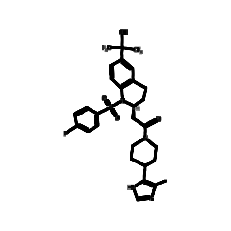 Cc1nc[nH]c1C1CCN(C(=O)C[C@@H]2CCc3cc(C(O)(C(F)(F)F)C(F)(F)F)ccc3N2S(=O)(=O)c2ccc(F)cc2)CC1